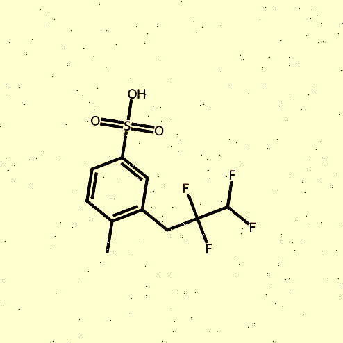 Cc1ccc(S(=O)(=O)O)cc1CC(F)(F)C(F)F